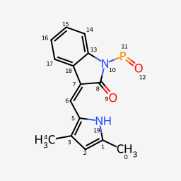 Cc1cc(C)c(/C=C2\C(=O)N(P=O)c3ccccc32)[nH]1